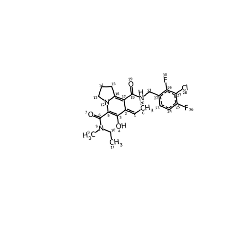 C/C=C1/C(O)=C(C(=O)N(C)CC)N2CCCC2=C1C(=O)NCc1ccc(F)c(Cl)c1F